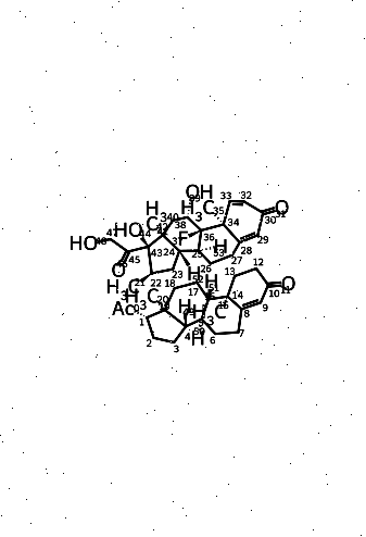 CC(=O)[C@H]1CC[C@H]2[C@@H]3CCC4=CC(=O)CC[C@]4(C)[C@H]3CC[C@]12C.C[C@@H]1C[C@H]2[C@@H]3CCC4=CC(=O)C=C[C@]4(C)[C@@]3(F)[C@@H](O)C[C@]2(C)[C@@]1(O)C(=O)CO